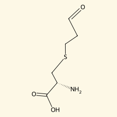 N[C@@H](CSCCC=O)C(=O)O